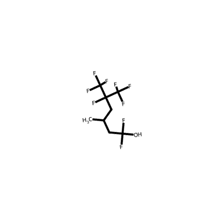 CC(CC(O)(F)F)CC(F)(C(F)(F)F)C(F)(F)F